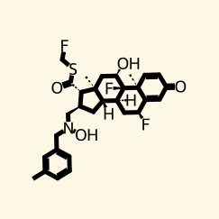 Cc1cccc(CN(O)C[C@@H]2C[C@H]3[C@@H]4C[C@H](F)C5=CC(=O)C=C[C@]5(C)[C@@]4(F)[C@@H](O)C[C@]3(C)[C@H]2C(=O)SCF)c1